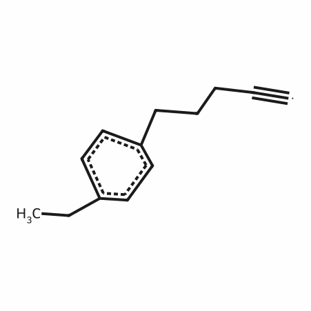 [C]#CCCCc1ccc(CC)cc1